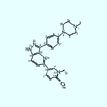 CN1CCN(c2ccc(-c3n[nH]c4ccc(-c5ccc(=O)n(C)c5)nc34)cc2)CC1